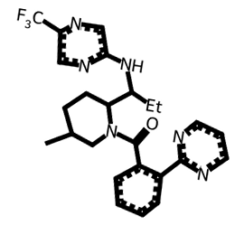 CCC(Nc1cnc(C(F)(F)F)cn1)C1CCC(C)CN1C(=O)c1ccccc1-c1ncccn1